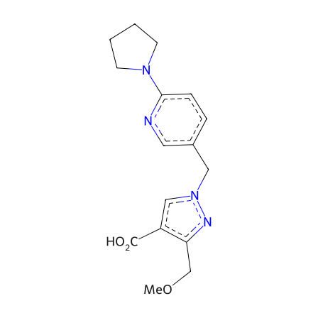 COCc1nn(Cc2ccc(N3CCCC3)nc2)cc1C(=O)O